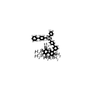 Bc1c(B)c(B)c2c(oc3c(-c4cccc(-c5ccc(-c6nc(-c7ccccc7)nc(-c7ccc(-c8ccccc8)cc7)n6)cc5)c4)c(B)c(B)c(B)c32)c1B